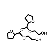 OCCOC(OC(OCCO)C1CCCO1)C1CCCO1